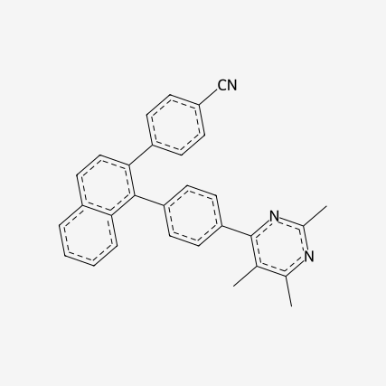 Cc1nc(C)c(C)c(-c2ccc(-c3c(-c4ccc(C#N)cc4)ccc4ccccc34)cc2)n1